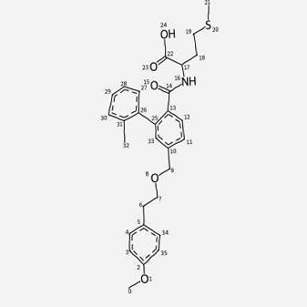 COc1ccc(CCOCc2ccc(C(=O)NC(CCSC)C(=O)O)c(-c3ccccc3C)c2)cc1